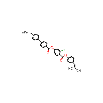 CCCCCc1ccc(-c2ccc(C(=O)Oc3ccc(C(=O)Oc4ccc(C=C(C#N)C#N)cc4)c(Cl)c3)cc2)cc1